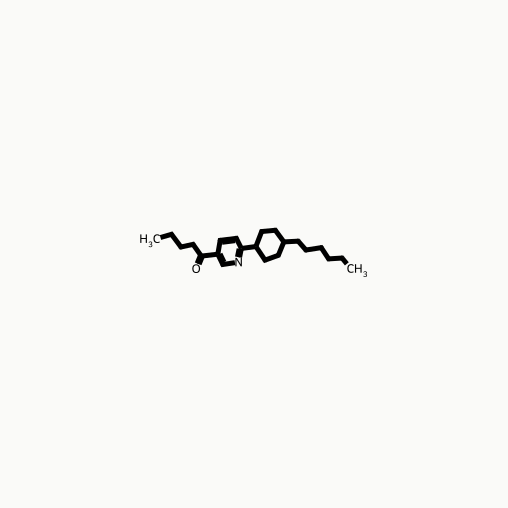 CCCCCCC1CCC(c2ccc(C(=O)CCCC)cn2)CC1